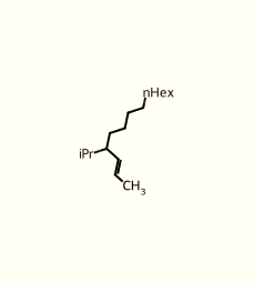 CC=CC(CCCCCCCCCC)C(C)C